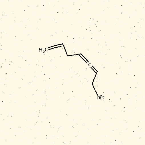 C=CCC=C=CCCCC